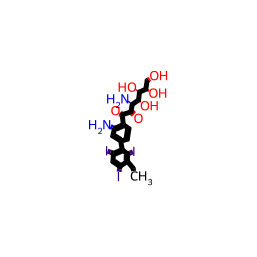 CCc1c(I)cc(I)c(-c2ccc(C(=O)C(=O)[C@H](N)[C@@H](O)[C@H](O)[C@H](O)CO)c(N)c2)c1I